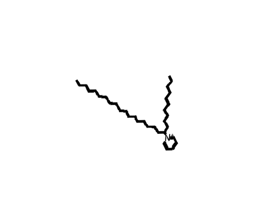 CCCCCCCCCCCCCCCCCCC(CCCCCCCCCC)[n+]1ccccc1